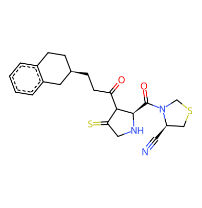 N#C[C@@H]1CSCN1C(=O)[C@H]1NCC(=S)C1C(=O)CC[C@@H]1CCc2ccccc2C1